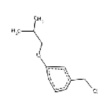 [CH2]Cc1cccc(OCC(C)C)c1